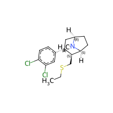 CCSC[C@H]1[C@H](c2ccc(Cl)c(Cl)c2)C[C@H]2CC[C@@H]1N2C